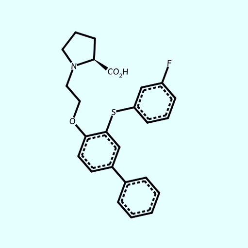 O=C(O)[C@@H]1CCCN1CCOc1ccc(-c2ccccc2)cc1Sc1cccc(F)c1